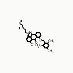 Cc1cc(C)c(COc2cccc3c2C(=O)c2c(Cl)ccc4c2c-3nn4CCNCCO)c(C)c1